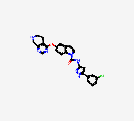 O=C(Nc1cc(-c2cccc(Cl)c2)[nH]n1)n1ccc2cc(Oc3ncnc4c3CCNC4)ccc21